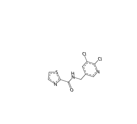 O=C(NCc1cnc(Cl)c(Cl)c1)c1nccs1